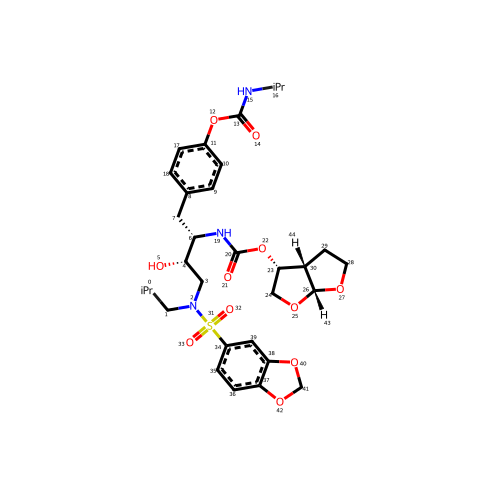 CC(C)CN(C[C@H](O)[C@H](Cc1ccc(OC(=O)NC(C)C)cc1)NC(=O)O[C@H]1CO[C@H]2OCC[C@H]21)S(=O)(=O)c1ccc2c(c1)OCO2